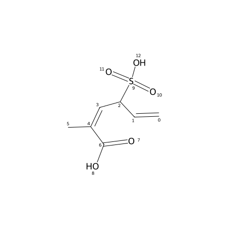 C=CC(C=C(C)C(=O)O)S(=O)(=O)O